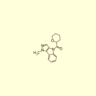 Cn1ncc2c1c1ccccc1n2C(=O)C1CCCCO1